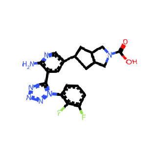 Nc1ncc(C2CC3CN(C(=O)O)CC3C2)cc1-c1nnnn1-c1cccc(F)c1F